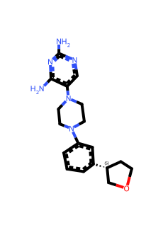 Nc1ncc(N2CCN(c3cccc([C@@H]4CCOC4)c3)CC2)c(N)n1